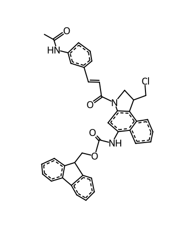 CC(=O)Nc1cccc(/C=C/C(=O)N2CC(CCl)c3c2cc(NC(=O)OCC2c4ccccc4-c4ccccc42)c2ccccc32)c1